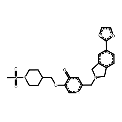 CS(=O)(=O)N1CCC(COc2coc(CN3Cc4ccc(-c5ncco5)cc4C3)cc2=O)CC1